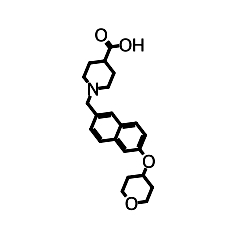 O=C(O)C1CCN(Cc2ccc3cc(OC4CCOCC4)ccc3c2)CC1